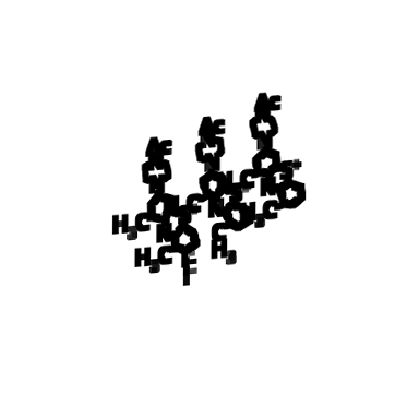 CC(=O)N1CCN(c2cc(C)c3nc4c(C)cccc4[s+]c3c2)CC1.CC(=O)N1CCN(c2cc(C)c3nc4c(C)cccc4[s+]c3c2)CC1.CC(=O)N1CCN(c2cc(C)c3nc4c(C)cccc4[s+]c3c2)CC1.[I-].[I-].[I-]